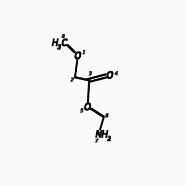 COCC(=O)OCN